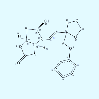 O=C1C[C@@H]2[C@@H](/C=C/C3(COc4ccccc4)OCCO3)[C@H](O)C[C@@H]2O1